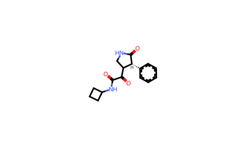 O=C(NC1CCC1)C(=O)C1CNC(=O)[C@@H]1c1ccccc1